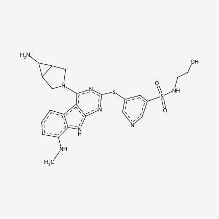 CNc1cccc2c1[nH]c1nc(Sc3cncc(S(=O)(=O)NCCO)c3)nc(N3CC4C(N)C4C3)c12